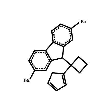 CC(C)(C)c1ccc2c(c1)C(C1(C3=CC=CC3)CCC1)c1cc(C(C)(C)C)ccc1-2